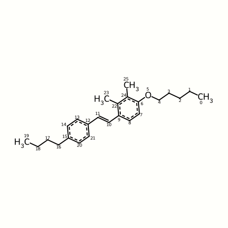 CCCCCOc1ccc(C=Cc2ccc(CCCC)cc2)c(C)c1C